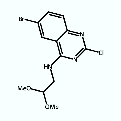 COC(CNc1nc(Cl)nc2ccc(Br)cc12)OC